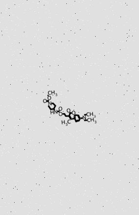 CCOC(=O)N1CCC(NC(=O)OCCc2c(C)c3ccc(N(CC)CC)cc3oc2=O)CC1